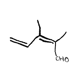 C=CC(C)=C(C)C=O